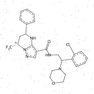 O=C(NCC(c1ccccc1Cl)N1CCOCC1)c1cnn2c1NC(c1ccccc1)C[C@H]2C(F)(F)F